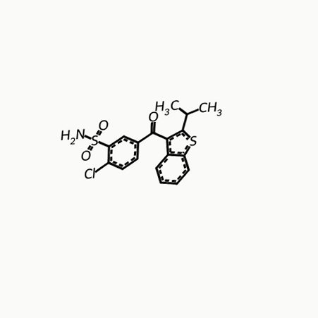 CC(C)c1sc2ccccc2c1C(=O)c1ccc(Cl)c(S(N)(=O)=O)c1